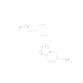 N#Cc1ccc2ncn(CC3CCCC(CNC(=O)O)C3)c2c1